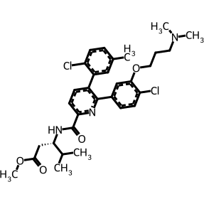 COC(=O)C[C@H](NC(=O)c1ccc(-c2cc(C)ccc2Cl)c(-c2ccc(Cl)c(OCCCN(C)C)c2)n1)C(C)C